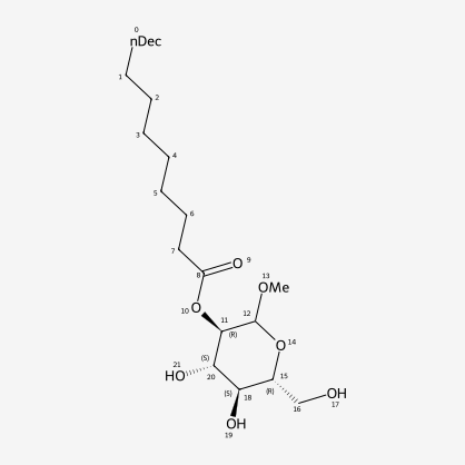 CCCCCCCCCCCCCCCCCC(=O)O[C@H]1C(OC)O[C@H](CO)[C@@H](O)[C@@H]1O